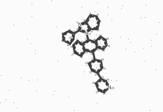 c1ccc(-c2nc3ccccc3n2-c2c3ccccc3c(-c3ccc(-c4cccnc4)cc3)c3ccccc23)cc1